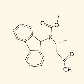 COC(=O)N(C1c2ccccc2-c2ccccc21)[C@H](C)CC(=O)O